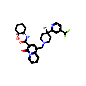 N#CC1(c2cc(C(F)F)ccn2)CCN(Cc2cc(C(=O)N[C@H]3CCCC[C@@H]3O)c(=O)n3ccccc23)CC1